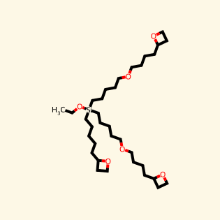 CCO[Si](CCCCCOCCCCC1CCO1)(CCCCCOCCCCC1CCO1)CCCCCC1CCO1